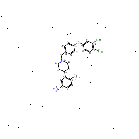 Cc1ccc(N)cc1C1CCN(Cc2ccc(Oc3ccc(F)c(F)c3)cc2)CC1